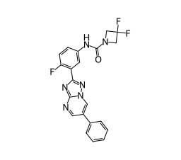 O=C(Nc1ccc(F)c(-c2nc3ncc(-c4ccccc4)cn3n2)c1)N1CC(F)(F)C1